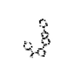 O=C(c1cccc(-c2ccn3nc(-c4ccc(F)cc4)cc3c2)c1)N1CCOCC1